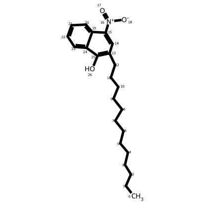 CCCCCCCCCCCCCc1cc([N+](=O)[O-])c2ccccc2c1O